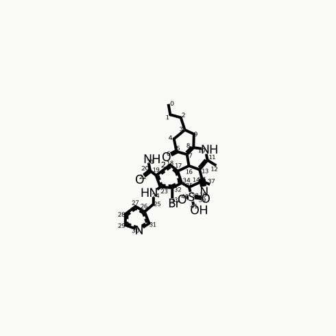 CCCC1CC(=O)C2=C(C1)NC(C)=C(C#N)C2c1cc(C(N)=O)c(NCc2cccnc2)c(Br)c1C(CC)S(=O)(=O)O